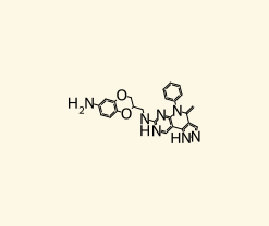 C=C1c2cn[nH]c2-c2cnc(NCC3COc4cc(N)ccc4O3)nc2N1c1ccccc1